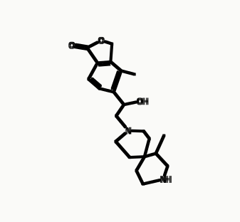 Cc1c(C(O)CN2CCC3(CCNCC3C)CC2)ccc2c1COC2=O